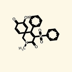 COC1=CC2(C=CC1=O)CN(C)C(=O)C(S(=O)(=O)c1ccccc1)=C2c1ccccc1